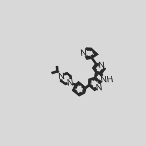 CC(C)N1CCN(c2cccc(-c3cnc4[nH]c5cnc(-c6cccnc6)cc5c4c3)c2)CC1